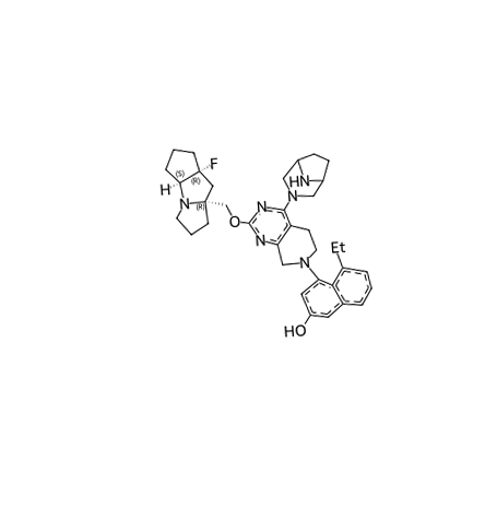 CCc1cccc2cc(O)cc(N3CCc4c(nc(OC[C@]56CCCN5[C@H]5CCC[C@@]5(F)C6)nc4N4CC5CCC(C4)N5)C3)c12